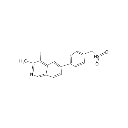 Cc1ncc2ccc(-c3ccc(C[SH](=O)=O)cc3)cc2c1I